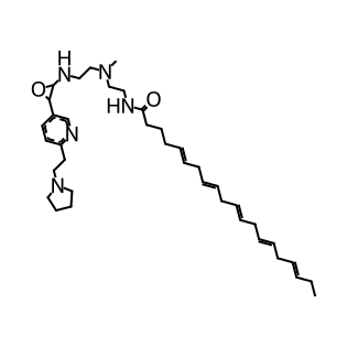 CC/C=C/C/C=C/C/C=C/C/C=C/C/C=C/CCCC(=O)NCCN(C)CCNC1OC1c1ccc(CCN2CCCC2)nc1